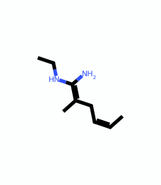 C/C=C\C/C(C)=C(\N)NCC